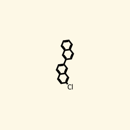 Clc1ccc2ccc(-c3ccc4ccccc4c3)cc2c1